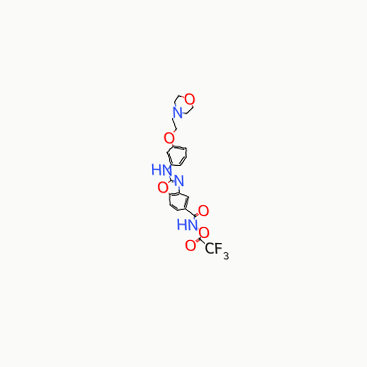 O=C(NOC(=O)C(F)(F)F)c1ccc2oc(Nc3cccc(OCCN4CCOCC4)c3)nc2c1